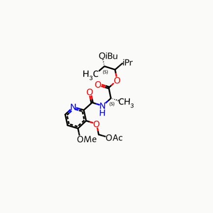 COc1ccnc(C(=O)N[C@@H](C)C(=O)OC(C(C)C)[C@H](C)OCC(C)C)c1OCOC(C)=O